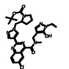 CCn1ncc(CN(C)C(=O)c2nc(-c3cnn(CC4CCCN4C(=O)OC(C)(C)C)c3)nc3ccc(Cl)cc23)c1O